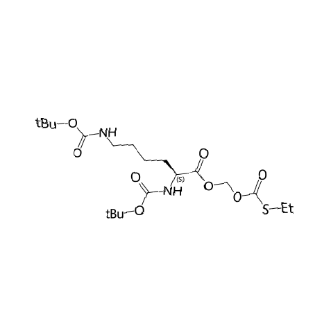 CCSC(=O)OCOC(=O)[C@H](CCCCNC(=O)OC(C)(C)C)NC(=O)OC(C)(C)C